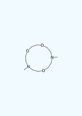 CN1CCOCCOCCN(C)CCOCC1